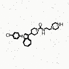 O=C(NCCN1CCNCC1)N1CCC(c2cn(-c3ccc(Cl)cc3)c3c2=CC=CCC=3)CC1